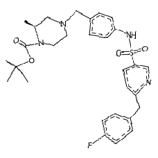 C[C@H]1CN(Cc2ccc(NS(=O)(=O)c3ccc(Cc4ccc(F)cc4)nc3)cc2)CCN1C(=O)OC(C)(C)C